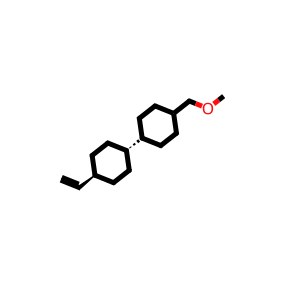 C=C[C@H]1CC[C@H](C2CCC(COC)CC2)CC1